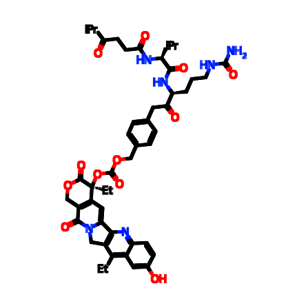 CCc1c2c(nc3ccc(O)cc13)-c1cc3c(c(=O)n1C2)COC(=O)[C@@]3(CC)OC(=O)OCc1ccc(CC(=O)[C@H](CCCNC(N)=O)NC(=O)[C@@H](NC(=O)CCC(=O)C(C)C)C(C)C)cc1